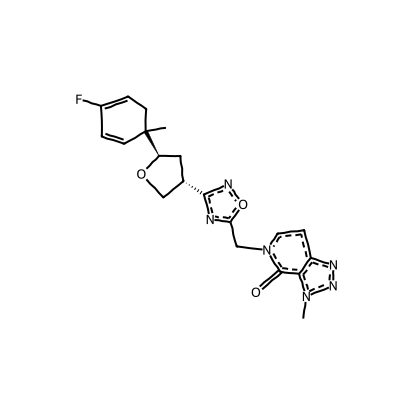 Cn1nnc2ccn(Cc3nc([C@@H]4CO[C@@H](C5(C)C=CC(F)=CC5)C4)no3)c(=O)c21